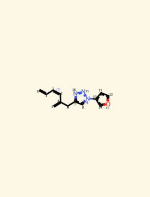 C=C/C=C\C(=C)Cc1cn(-c2ccoc2)nn1